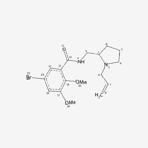 C=CCN1CCCC1CNC(=O)c1cc(Br)cc(OC)c1OC